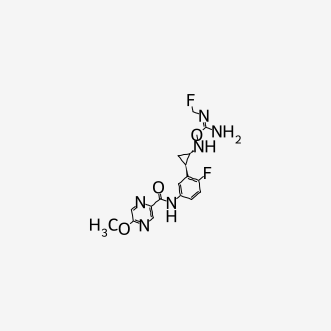 COc1cnc(C(=O)Nc2ccc(F)c([C@H]3C[C@H]3NO/C(N)=N\CF)c2)cn1